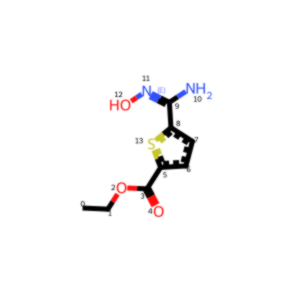 CCOC(=O)c1ccc(/C(N)=N\O)s1